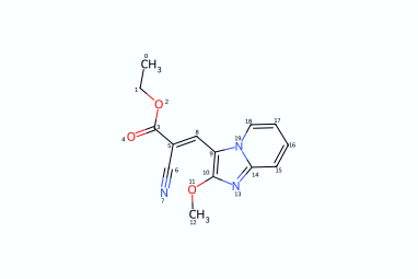 CCOC(=O)/C(C#N)=C/c1c(OC)nc2ccccn12